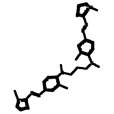 Cc1cc(N=Nc2scc[n+]2C)ccc1N(C)CCCN(C)c1ccc(N=Nc2scc[n+]2C)cc1C